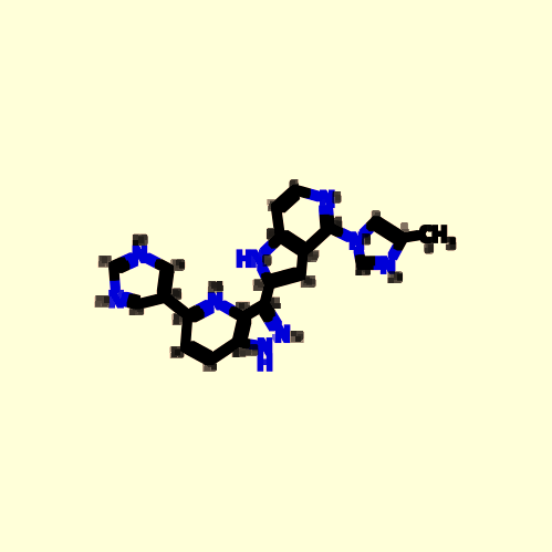 Cc1cn(-c2nccc3[nH]c(-c4n[nH]c5ccc(-c6cncnc6)nc45)cc23)cn1